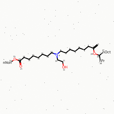 C=C(CCCCCCCN(CCO)CCCCCCCC(=O)OCCCCCCCCC)OC(CCC)CCCCCCCC